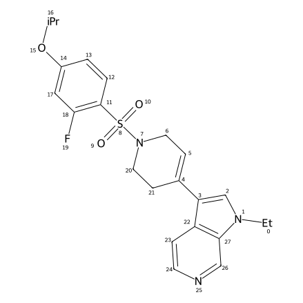 CCn1cc(C2=CCN(S(=O)(=O)c3ccc(OC(C)C)cc3F)CC2)c2ccncc21